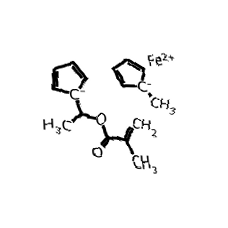 C=C(C)C(=O)OC(C)[c-]1cccc1.C[c-]1cccc1.[Fe+2]